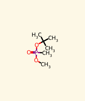 COP(C)(=O)OC(C)(C)C